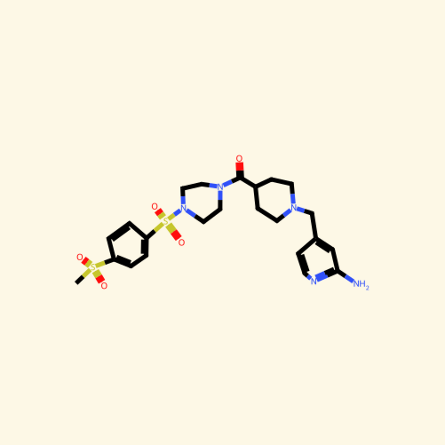 CS(=O)(=O)c1ccc(S(=O)(=O)N2CCN(C(=O)C3CCN(Cc4ccnc(N)c4)CC3)CC2)cc1